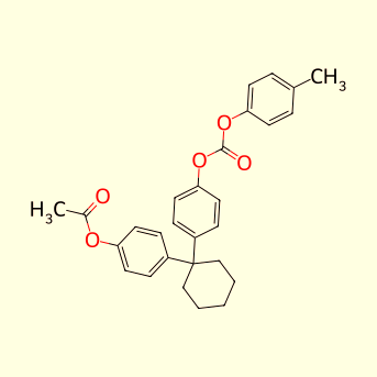 CC(=O)Oc1ccc(C2(c3ccc(OC(=O)Oc4ccc(C)cc4)cc3)CCCCC2)cc1